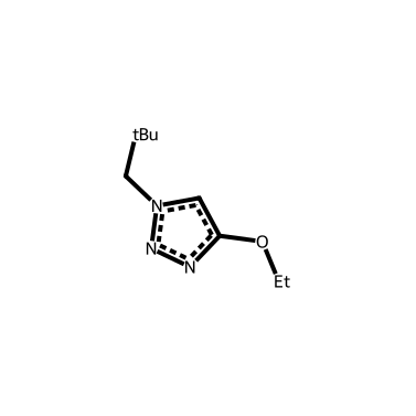 CCOc1cn(CC(C)(C)C)nn1